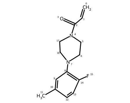 C=CC(=O)N1CCN(c2cc(C)ccc2F)CC1